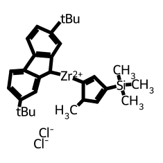 CC1C=C([Si](C)(C)C)C=[C]1[Zr+2][CH]1c2cc(C(C)(C)C)ccc2-c2ccc(C(C)(C)C)cc21.[Cl-].[Cl-]